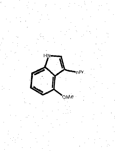 CCCc1c[nH]c2cccc(OC)c12